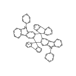 c1ccc(-n2c3ccccc3c3cc4c(cc32)C2(c3ccccc3-c3ccccc32)c2cc3c5ccccc5n(-c5ccccc5)c3cc2C42c3ccccc3-c3ccccc32)cc1